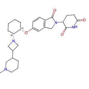 CN1CCCC(C2CN([C@@H]3CCCC[C@@H]3Oc3ccc4c(c3)CN(C3CCC(=O)NC3=O)C4=O)C2)C1